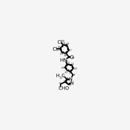 Cc1c(CC=O)cnn1Cc1ccc(NC(=O)c2ccc(Cl)c(Cl)c2)cc1